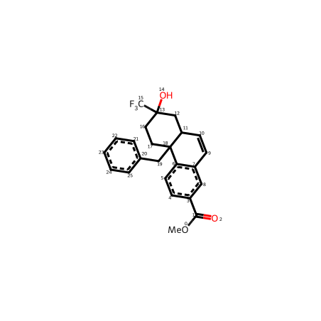 COC(=O)c1ccc2c(c1)C=CC1CC(O)(C(F)(F)F)CCC21Cc1ccccc1